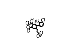 O=c1[nH]c2c(F)c(-c3cccc(Cl)c3Cl)c(CCC3OCCO3)cc2c(=O)o1